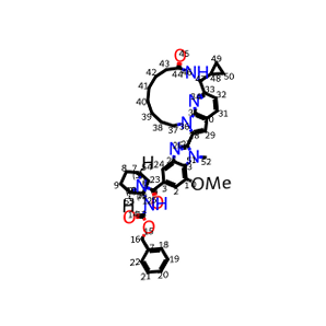 COc1cc(C(=O)N2[C@H]3CC[C@@H]2[C@H](NC(=O)OCc2ccccc2)C3)cc2nc(-c3cc4ccc5nc4n3CCCCCCCC(=O)NC5C3CC3)n(C)c12